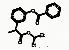 CCN(CC)OC(=O)C(C)c1cccc(OC(=O)c2ccccc2)c1